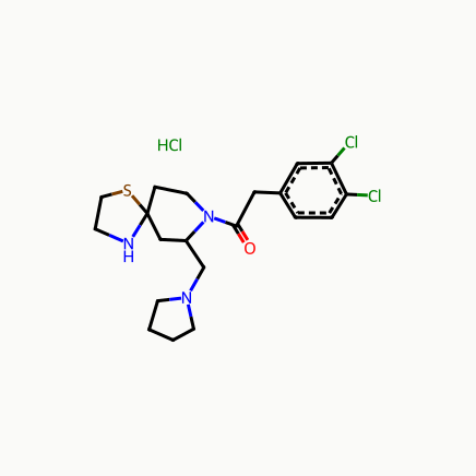 Cl.O=C(Cc1ccc(Cl)c(Cl)c1)N1CCC2(CC1CN1CCCC1)NCCS2